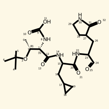 C[C@@H](OC(C)(C)C)[C@H](NC(=O)O)C(=O)NC(CC1CC1)C(=O)NC(C=O)CC1CCNC1=O